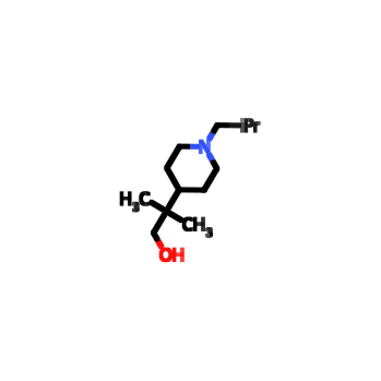 CC(C)CN1CCC(C(C)(C)CO)CC1